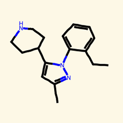 CCc1ccccc1-n1nc(C)cc1C1CCNCC1